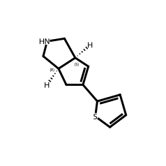 C1=C(c2cccs2)C[C@H]2CNC[C@@H]12